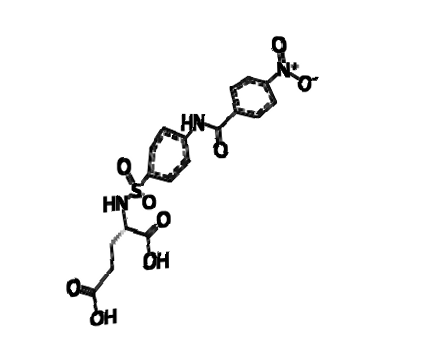 O=C(O)CC[C@H](NS(=O)(=O)c1ccc(NC(=O)c2ccc([N+](=O)[O-])cc2)cc1)C(=O)O